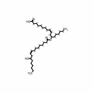 CCCCCCC(O)C/C=C\CCCCCCCC(=O)OC(C/C=C\CCCCCCCC(=O)O)CCCCCC